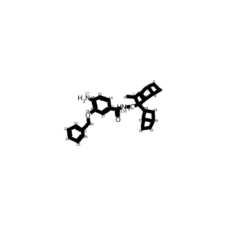 CC1C2=C(C3CCC23)C1(CNC(=O)c1ccc(N)c(OCc2ccccc2)c1)C1CC2CCC21